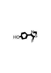 Oc1ccc(-c2ncsc2F)cc1